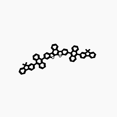 CC1(C)c2ccccc2-c2ccc(-c3c4ccccc4c(C4=CC5Oc6c(c7ccccc7c7c6oc6cc(-c8c9ccccc9c(-c9ccc%10c(c9)C(C)(C)c9ccccc9-%10)c9ccccc89)ccc67)C5C=C4)c4ccccc34)cc21